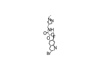 CCn1cc(CNC(=O)C(OC)Oc2cc3cc(Br)cnc3cc2F)cn1